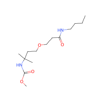 CCCCNC(=O)CCOCCC(C)(C)NC(=O)OC